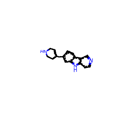 C1=C(c2ccc3c(c2)[nH]c2ccncc23)CCNC1